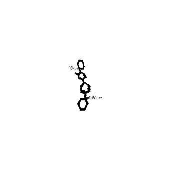 CCCCCCCCCC1(c2ccc(-c3ccc(C4(CCCCCCCCC)CCCCC4)c(C)c3)cc2)CCCCC1